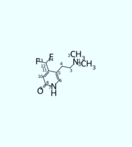 CN(C)CCc1c[nH]c(=O)cc1C(F)F